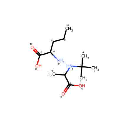 CC(NC(C)(C)C)C(=O)O.CCCC(N)C(=O)O